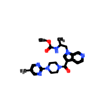 CC(Cn1cc(C(=O)N2CCN(c3ncc(C(F)(F)F)cn3)CC2)c2ccncc21)NC(=O)OC(C)(C)C